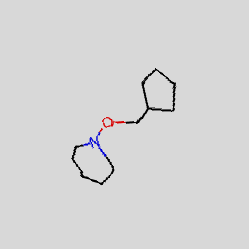 C1CCN(OCC2CCCC2)CC1